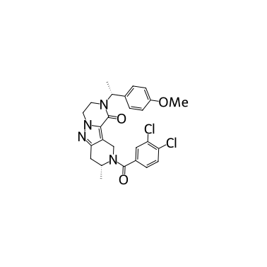 COc1ccc([C@@H](C)N2CCn3nc4c(c3C2=O)CN(C(=O)c2ccc(Cl)c(Cl)c2)[C@H](C)C4)cc1